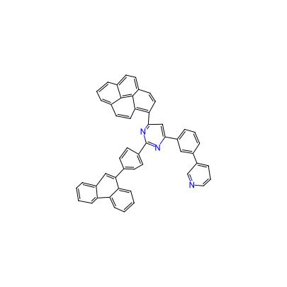 c1cncc(-c2cccc(-c3cc(-c4ccc5ccc6cccc7ccc4c5c67)nc(-c4ccc(-c5cc6ccccc6c6ccccc56)cc4)n3)c2)c1